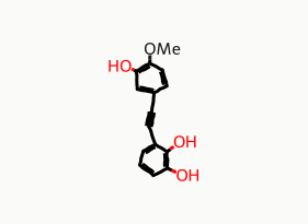 COc1ccc(C#Cc2cccc(O)c2O)cc1O